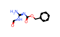 NC(=NC(=O)OCc1ccccc1)NC=O